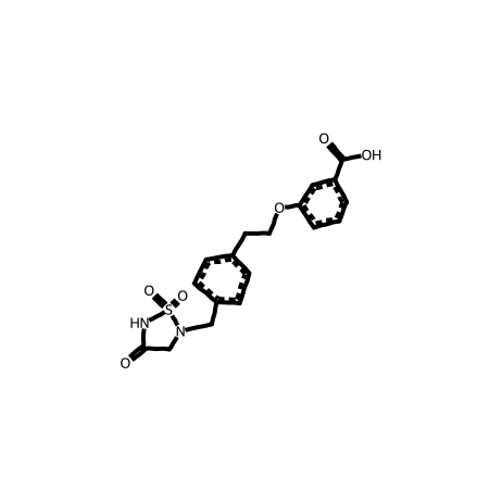 O=C1CN(Cc2ccc(CCOc3cccc(C(=O)O)c3)cc2)S(=O)(=O)N1